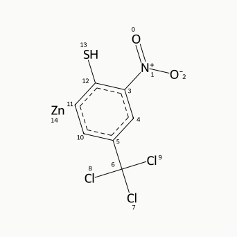 O=[N+]([O-])c1cc(C(Cl)(Cl)Cl)ccc1S.[Zn]